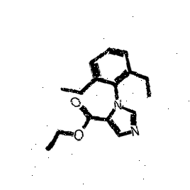 CCOC(=O)c1cncn1-c1c(CC)cccc1CC